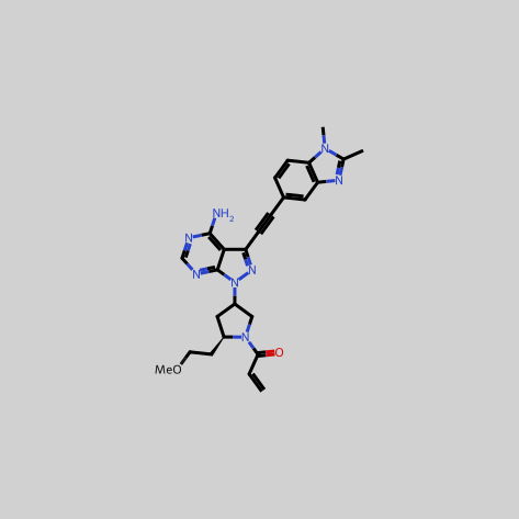 C=CC(=O)N1CC(n2nc(C#Cc3ccc4c(c3)nc(C)n4C)c3c(N)ncnc32)C[C@@H]1CCOC